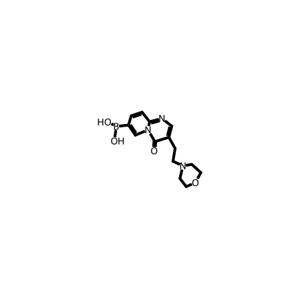 O=c1c(CCN2CCOCC2)cnc2ccc(B(O)O)cn12